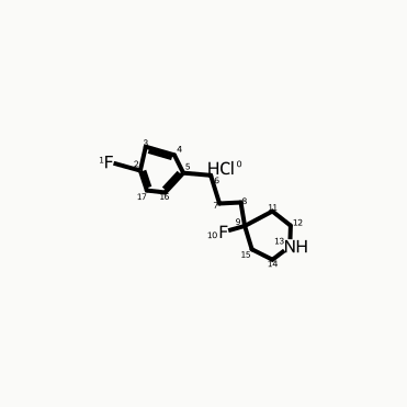 Cl.Fc1ccc(CCCC2(F)CCNCC2)cc1